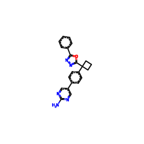 Nc1ncc(-c2ccc(C3(c4nnc(-c5ccccc5)o4)CCC3)cc2)cn1